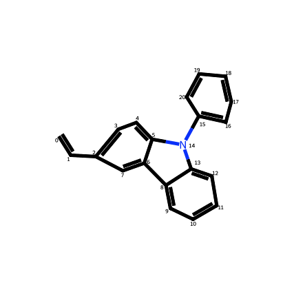 C=Cc1ccc2c(c1)c1ccccc1n2-c1ccccc1